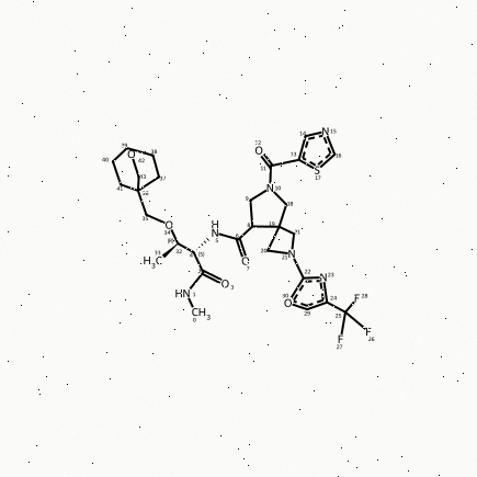 CNC(=O)[C@@H](NC(=O)C1CN(C(=O)c2cncs2)CC12CN(c1nc(C(F)(F)F)co1)C2)[C@@H](C)OCC12CCC(CC1)OC2